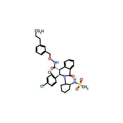 CS(=O)(=O)N[C@H]1CCCCC1N1C(=O)c2ccccc2[C@@H](C(=O)NOCc2cccc(CCC(=O)O)c2)[C@@H]1c1ccc(Cl)cc1Cl